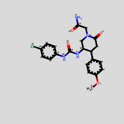 COc1ccc(C2CC(=O)N(CC(N)=O)CC2NC(=O)Nc2ccc(Cl)cc2)cc1